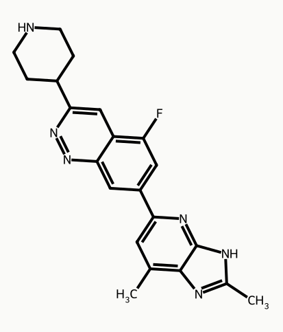 Cc1nc2c(C)cc(-c3cc(F)c4cc(C5CCNCC5)nnc4c3)nc2[nH]1